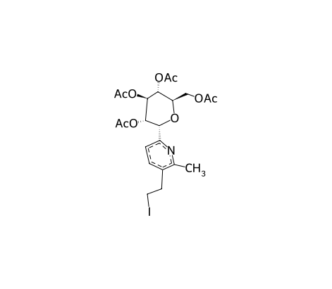 CC(=O)OC[C@H]1O[C@H](c2ccc(CCI)c(C)n2)[C@H](OC(C)=O)[C@@H](OC(C)=O)[C@@H]1OC(C)=O